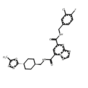 Cc1nnc([C@H]2CC[C@H](CNC(=O)c3cc(C(=O)NCc4ccc(F)c(Cl)c4)nc4ncnn34)CC2)o1